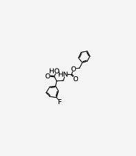 O=C(NCC(C(=O)O)c1cccc(F)c1)OCc1ccccc1